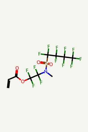 C=CC(=O)OC(F)(F)C(F)(F)N(C)S(=O)(=O)C(F)(F)C(F)(F)C(F)(F)C(F)(F)F